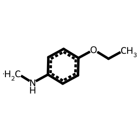 [CH2]Nc1ccc(OCC)cc1